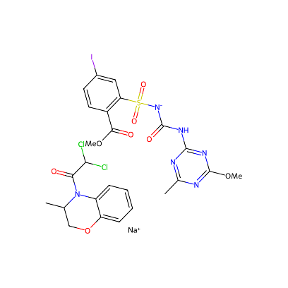 CC1COc2ccccc2N1C(=O)C(Cl)Cl.COC(=O)c1ccc(I)cc1S(=O)(=O)[N-]C(=O)Nc1nc(C)nc(OC)n1.[Na+]